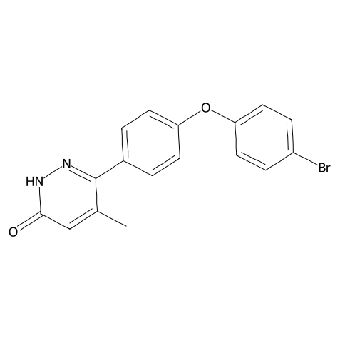 Cc1cc(=O)[nH]nc1-c1ccc(Oc2ccc(Br)cc2)cc1